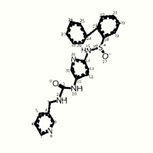 O=C(NCc1cccnc1)Nc1ccc(N[S+]([O-])c2ccccc2-c2ccccc2)nc1